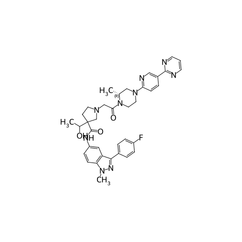 CC(O)C1(C(=O)Nc2ccc3c(c2)c(-c2ccc(F)cc2)nn3C)CCN(CC(=O)N2CCN(c3ccc(-c4ncccn4)cn3)C[C@H]2C)C1